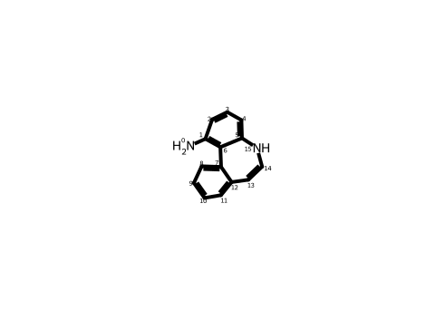 Nc1cccc2c1-c1ccccc1C=CN2